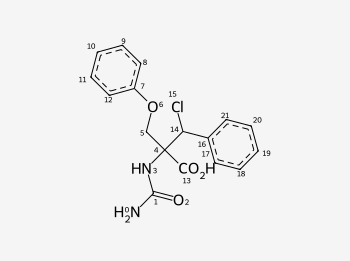 NC(=O)NC(COc1ccccc1)(C(=O)O)C(Cl)c1ccccc1